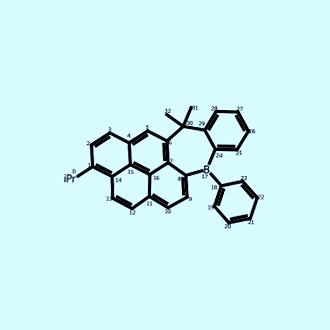 CC(C)c1ccc2cc3c4c(ccc5ccc1c2c54)B(c1ccccc1)c1ccccc1C3(C)C